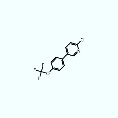 FC(F)(F)Oc1ccc(-c2[c]nc(Cl)cc2)cc1